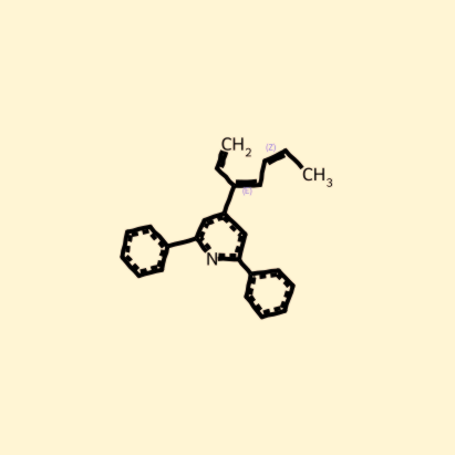 C=C/C(=C\C=C/C)c1cc(-c2ccccc2)nc(-c2ccccc2)c1